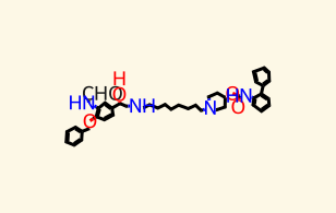 O=CNc1cc(C(O)CNCCCCCCCCCN2CCC(OC(=O)Nc3ccccc3-c3ccccc3)CC2)ccc1OCc1ccccc1